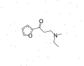 CCN(C)CCC(=O)c1ccco1